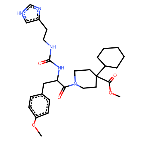 COC(=O)C1(C2CCCCC2)CCN(C(=O)C(Cc2ccc(OC)cc2)NC(=O)NCCc2c[nH]cn2)CC1